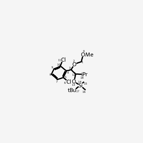 COCOC(c1c(Cl)cccc1Cl)C(O[Si](C)(C)C(C)(C)C)C(C)C